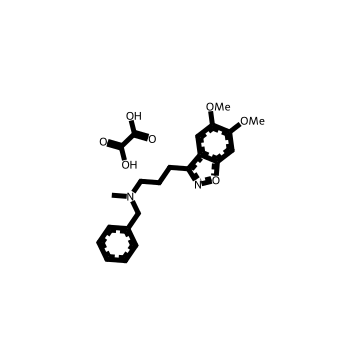 COc1cc2onc(CCCN(C)Cc3ccccc3)c2cc1OC.O=C(O)C(=O)O